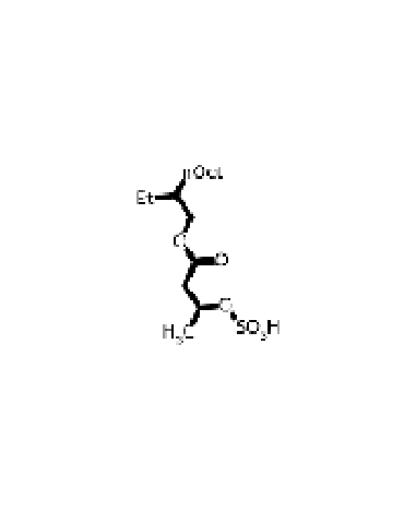 CCCCCCCCC(CC)COC(=O)CC(C)OS(=O)(=O)O